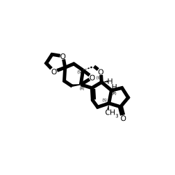 C[C@]12CC=C3[C@@H](OC[C@@]45CC6(CC[C@@]34O5)OCCO6)[C@@H]1CCC2=O